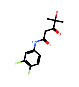 CC(C)(Br)C(=O)CC(=O)Nc1ccc(F)c(F)c1